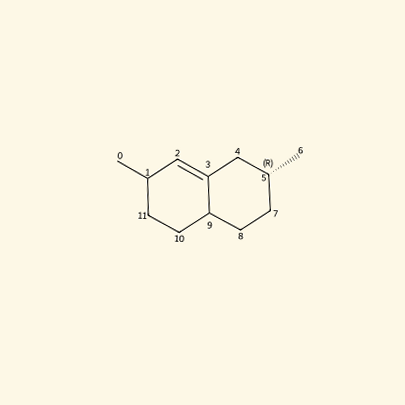 CC1C=C2C[C@H](C)CCC2CC1